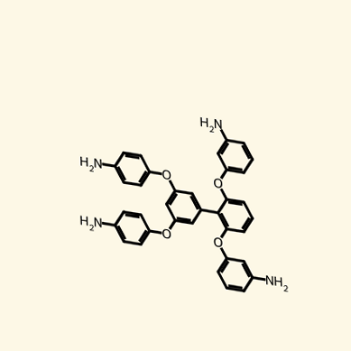 Nc1ccc(Oc2cc(Oc3ccc(N)cc3)cc(-c3c(Oc4cccc(N)c4)cccc3Oc3cccc(N)c3)c2)cc1